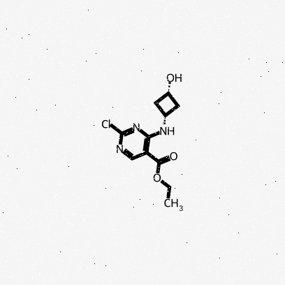 CCOC(=O)c1cnc(Cl)nc1N[C@H]1C[C@@H](O)C1